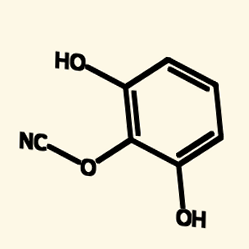 N#COc1c(O)cccc1O